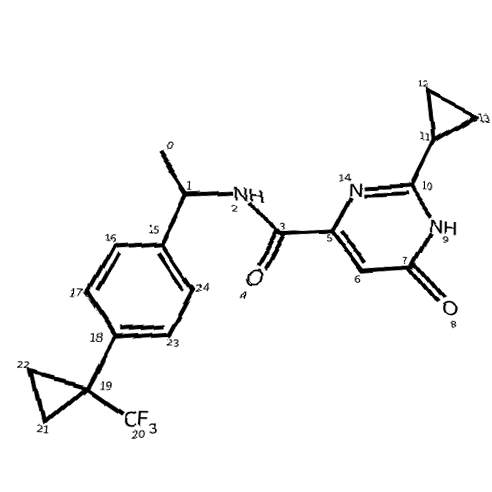 CC(NC(=O)c1cc(=O)[nH]c(C2CC2)n1)c1ccc(C2(C(F)(F)F)CC2)cc1